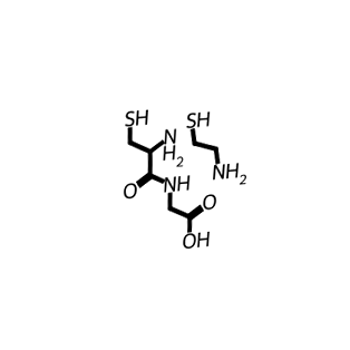 NC(CS)C(=O)NCC(=O)O.NCCS